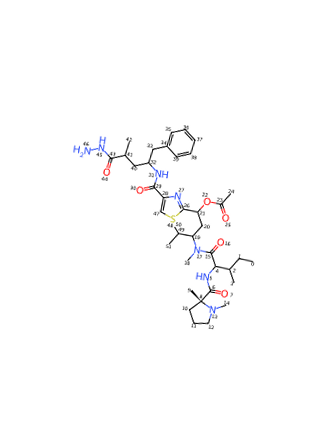 CCC(C)C(NC(=O)[C@@]1(C)CCCN1C)C(=O)N(C)C(CC(OC(C)=O)c1nc(C(=O)NC(Cc2ccccc2)CC(C)C(=O)NN)cs1)C(C)C